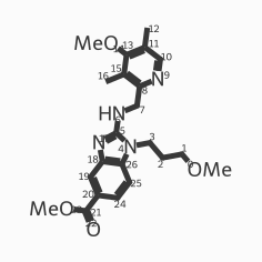 COCCCn1c(NCc2ncc(C)c(OC)c2C)nc2cc(C(=O)OC)ccc21